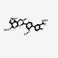 CCOc1cc(C(=O)N(C)Cc2cnc(OC)c3cn[nH]c23)ccc1-c1ccc(F)c(C(=O)NC)c1